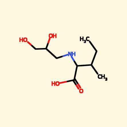 CCC(C)C(NCC(O)CO)C(=O)O